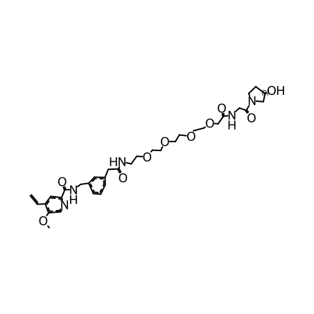 C=Cc1cc(C(=O)NCc2cccc(CC(=O)NCCOCCOCCOCCOCC(=O)NCC(=O)N3CC[C@@H](O)C3)c2)ncc1OC